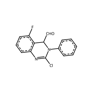 O=CC1c2c(F)cccc2N=C(Cl)N1c1ccccc1